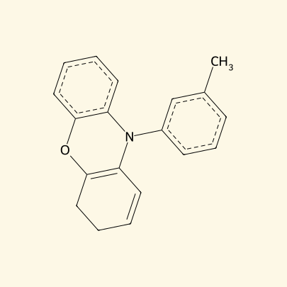 Cc1cccc(N2C3=C(CCC=C3)Oc3ccccc32)c1